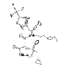 CCCN(C(=O)c1noc(C(F)(F)F)n1)C(=O)[C@@H](C(N)=O)S(=O)(=O)CC1CC1